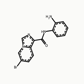 Nc1ccccc1NC(=O)c1ncn2cc(Br)ccc12